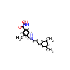 C=C1CC(C)CC(CCCNCc2ccc(C(=O)NO)cc2C)C1